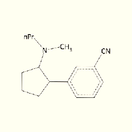 CCCN(C)C1CCCC1c1cccc(C#N)c1